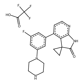 O=C(O)C(F)(F)F.O=C1Nc2nccc(-c3cc(F)cc(N4CCNCC4)c3)c2C12CC2